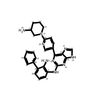 Nc1c(Nc2nc(-c3ccc(N4CCCC(N)C4)nc3)c3nc[nH]c3n2)cccc1-c1ccccc1